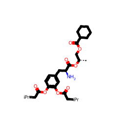 CC(C)CC(=O)Oc1ccc(C[C@H](N)C(=O)O[C@@H](C)COC(=O)C2CCCCC2)cc1OC(=O)CC(C)C